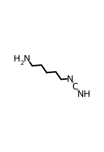 N=C=NCCCCCN